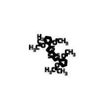 CCOc1cccc(OC(C)C)c1-c1cc2sc3cc(-c4c(OCC)cccc4OC(C)C)sc3c2s1